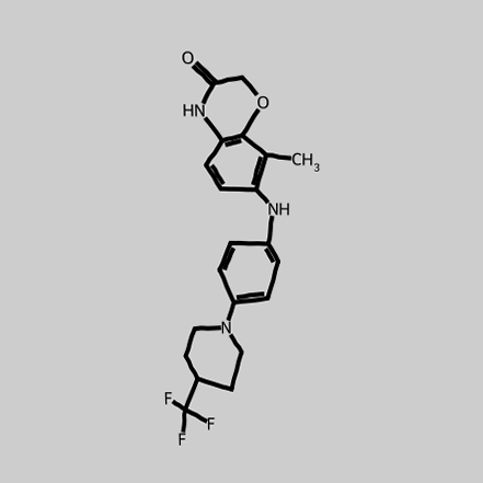 Cc1c(Nc2ccc(N3CCC(C(F)(F)F)CC3)cc2)ccc2c1OCC(=O)N2